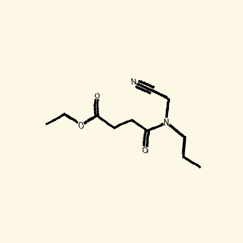 CCCN(CC#N)C(=O)CCC(=O)OCC